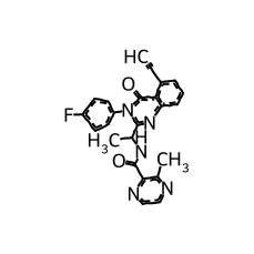 C#Cc1cccc2nc(C(C)NC(=O)c3nccnc3C)n(-c3ccc(F)cc3)c(=O)c12